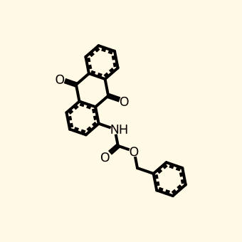 O=C(Nc1cccc2c1C(=O)c1ccccc1C2=O)OCc1ccccc1